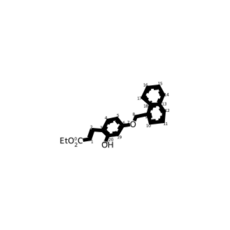 CCOC(=O)/C=C/c1ccc(OCc2cccc3ccccc23)cc1O